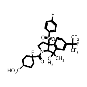 CC1(C)c2cc(C(F)(C(F)(F)F)C(F)(F)F)ccc2C2(S(=O)(=O)c3ccc(F)cc3)CCN(C(=O)[C@]3(F)CC[C@@H](C(=O)O)CC3)C12